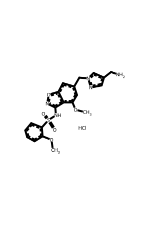 COc1ccccc1S(=O)(=O)Nc1noc2cc(Cn3cc(CN)cn3)cc(OC)c12.Cl